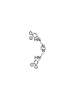 COc1ccc(CNCCCN2CCN(CCCNCc3ccc(OC)c(OC)c3)CC2)cc1OC